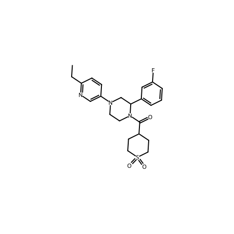 CCc1ccc(N2CCN(C(=O)C3CCS(=O)(=O)CC3)C(c3cccc(F)c3)C2)cn1